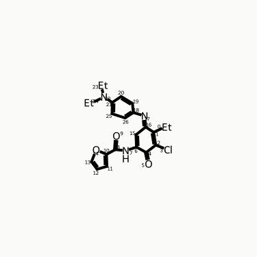 CCC1=C(Cl)C(=O)C(NC(=O)c2ccco2)=CC1=Nc1ccc(N(CC)CC)cc1